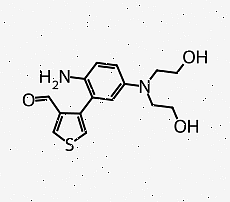 Nc1ccc(N(CCO)CCO)cc1-c1cscc1C=O